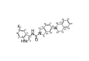 O=C(Nc1c[nH]c2ccc(F)cc12)N1Cc2ccc(N3CCc4ccccc4C3)cc2C1